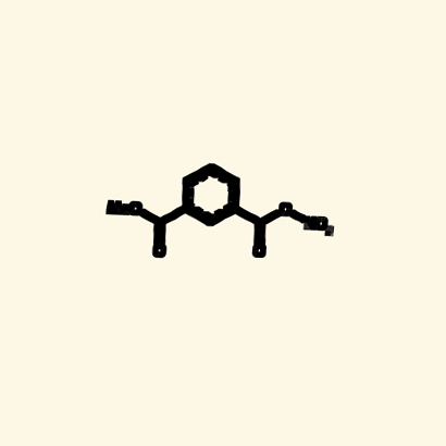 COC(=O)c1cccc(C(=O)O[N+](=O)[O-])c1